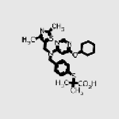 Cc1nc(C)c(CN(Cc2ccc(SC(C)(C)C(=O)O)cc2)c2cc(OC3CCCCC3)ncn2)s1